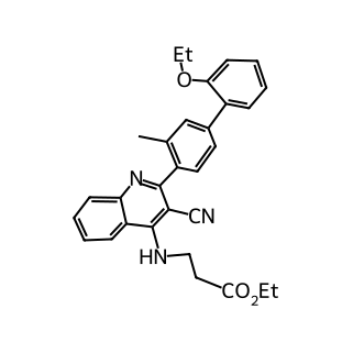 CCOC(=O)CCNc1c(C#N)c(-c2ccc(-c3ccccc3OCC)cc2C)nc2ccccc12